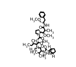 CC[C@H](C)[C@@H]([C@H](CC(=O)N1CCC[C@H]1[C@H](OC)[C@@H](C)C(=O)N[C@H](COC)Cc1ccccc1)OC)N(C)C(=O)[C@@H](NC(=O)[C@H]1N[C@@H]2CC[C@H]1C2)C(C)C